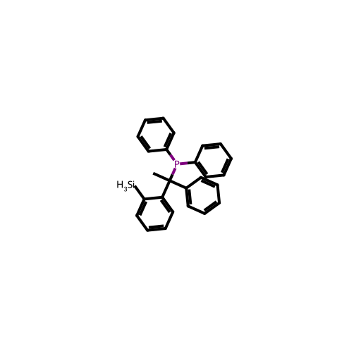 CC(c1ccccc1)(c1ccccc1[SiH3])P(c1ccccc1)c1ccccc1